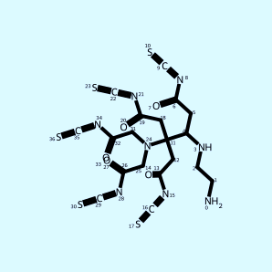 NCCNC(CC(=O)N=C=S)C(CC(=O)N=C=S)(CC(=O)N=C=S)N(CC(=O)N=C=S)CC(=O)N=C=S